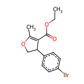 CCOC(=O)C1=C(C)OCC1c1ccc(Br)cc1